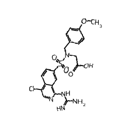 COc1ccc(CN(CC(=O)O)S(=O)(=O)c2ccc3c(Cl)cnc(NC(=N)N)c3c2)cc1